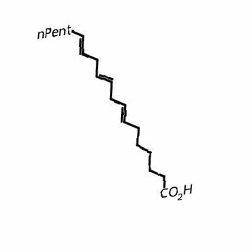 CCCCCC=CCC=CCC=CCCCCCC(=O)O